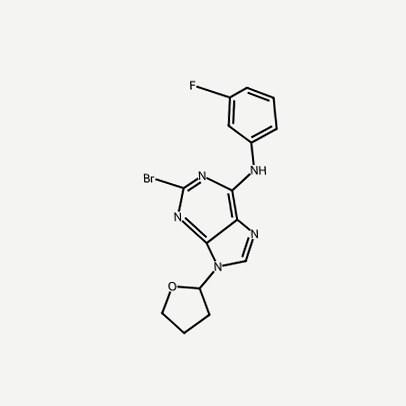 Fc1cccc(Nc2nc(Br)nc3c2ncn3C2CCCO2)c1